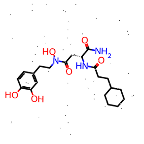 NC(=O)[C@@H](CC(=O)N(O)CCc1ccc(O)c(O)c1)NC(=O)CCC1CCCCC1